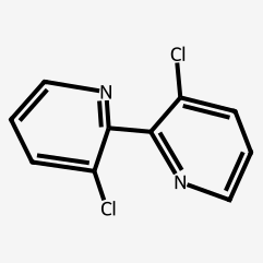 Clc1cccnc1-c1ncccc1Cl